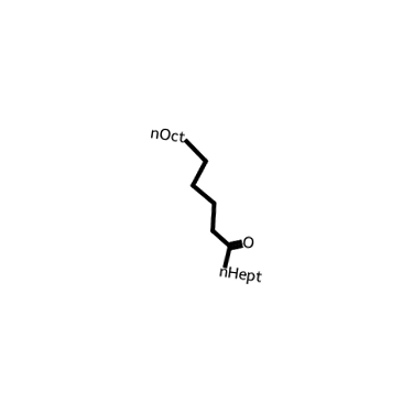 CCCCCCCCCCCCC(=O)CCCCCCC